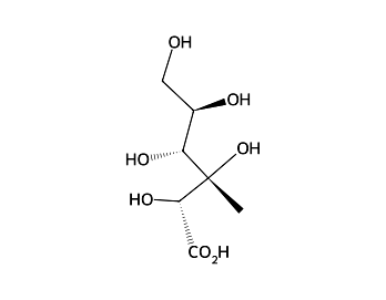 C[C@](O)([C@H](O)[C@H](O)CO)[C@@H](O)C(=O)O